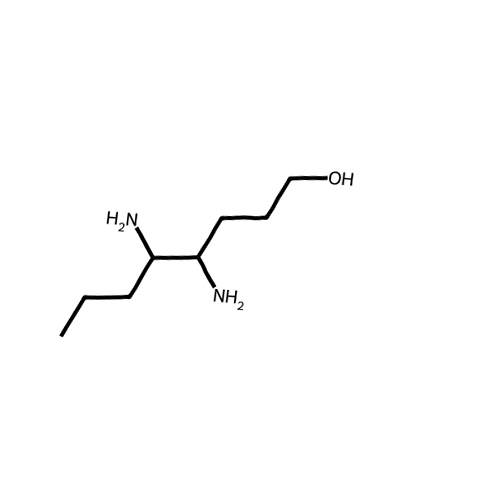 CCCC(N)C(N)CCCO